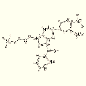 COc1cc(-c2cnc3c(c2)c(C(=O)c2ccccn2)cn3COCC[Si](C)(C)C)ccc1N(C)C